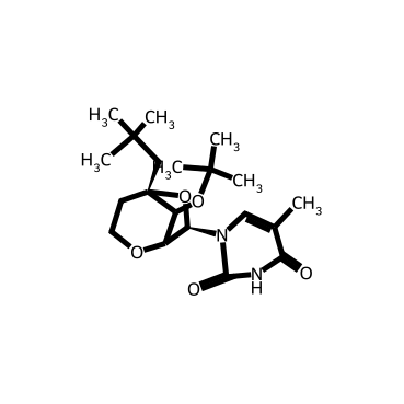 Cc1cn([C@@H]2O[C@@]3(CC(C)(C)C)CCOC2C3OC(C)(C)C)c(=O)[nH]c1=O